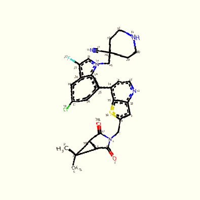 CC1(C)C2C(=O)N(Cc3cc4nccc(-c5cc(Cl)cc6c(F)cn(CC7(C#N)CCNCC7)c56)c4s3)C(=O)C21